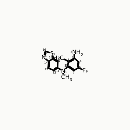 Cc1c(N)cc(F)cc1N(C)c1ccc2ncsc2c1